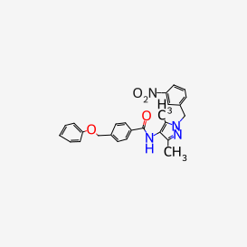 Cc1nn(Cc2cccc([N+](=O)[O-])c2)c(C)c1NC(=O)c1ccc(COc2ccccc2)cc1